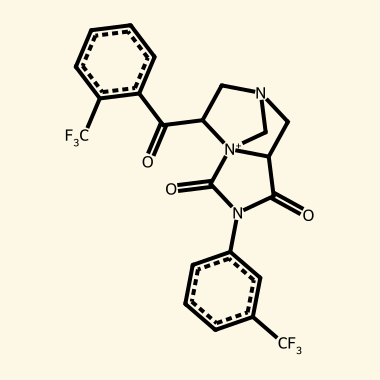 O=C(c1ccccc1C(F)(F)F)C1CN2CC3C(=O)N(c4cccc(C(F)(F)F)c4)C(=O)[N+]13C2